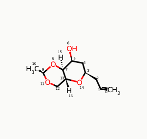 C=CC[C@@H]1C[C@H](O)[C@@H]2O[C@H](C)OC[C@H]2O1